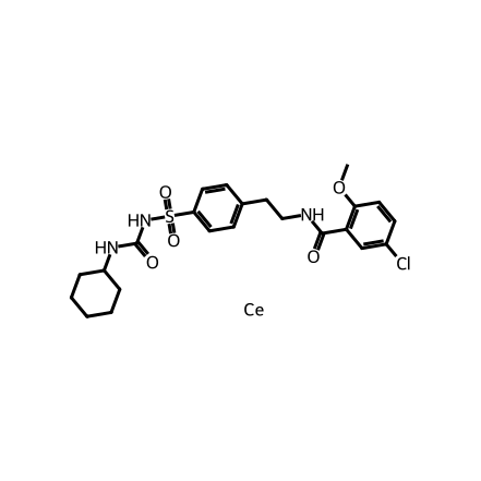 COc1ccc(Cl)cc1C(=O)NCCc1ccc(S(=O)(=O)NC(=O)NC2CCCCC2)cc1.[Ce]